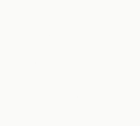 C1CCCCCCCCCCCCC1